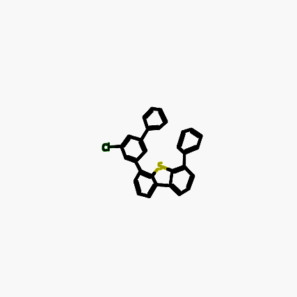 Clc1cc(-c2ccccc2)cc(-c2cccc3c2sc2c(-c4ccccc4)cccc23)c1